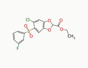 CCOC(=O)C1Oc2cc(Cl)c(S(=O)(=O)c3cccc(F)c3)cc2O1